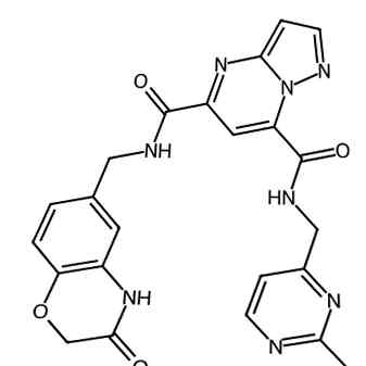 Cc1nccc(CNC(=O)c2cc(C(=O)NCc3ccc4c(c3)NC(=O)CO4)nc3ccnn23)n1